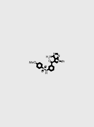 COc1ccc(S(=O)(=O)Nc2cccc(C(=O)c3cn(C(C)C)c4ncnc(N)c34)c2)cc1